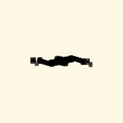 CCCCCCCCc1ccc(-c2ccc3c(c2)oc2ccc4c(ccc5oc6cc(-c7ccc(CCCCCCCC)cc7)ccc6c54)c23)cc1